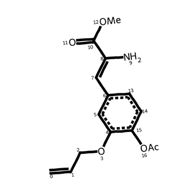 C=CCOc1cc(C=C(N)C(=O)OC)ccc1OC(C)=O